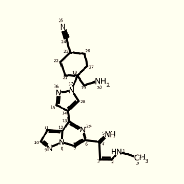 CN/C=C\C(=N)c1cn2nccc2c(-c2cnn(C3(CN)CCC(C#N)CC3)c2)n1